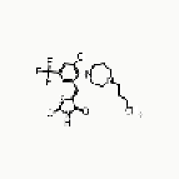 CCCCN1CCCN(c2c(Cl)cc(C(F)(F)F)cc2/C=C2\SC(=O)NC2=O)CC1